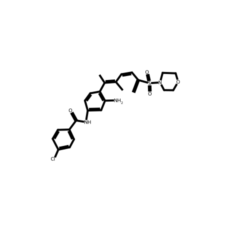 C=C(/C=C\C(C)=C(/C)c1ccc(NC(=O)c2ccc(Cl)cc2)cc1N)S(=O)(=O)N1CCOCC1